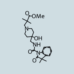 COC(=O)C(C)(C)CN1CCC(O)(CNC(=O)N2C(=O)C(C)(C)c3ccccc32)CC1